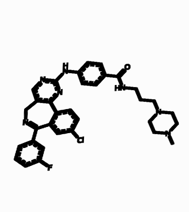 CN1CCN(CCCNC(=O)c2ccc(Nc3ncc4c(n3)-c3ccc(Cl)cc3C(c3cccc(F)c3)=NC4)cc2)CC1